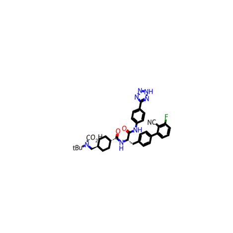 CC(C)(C)N(C[C@H]1CC[C@H](C(=O)N[C@@H](Cc2ccc(-c3cccc(F)c3C#N)cc2)C(=O)Nc2ccc(-c3nn[nH]n3)cc2)CC1)C(=O)O